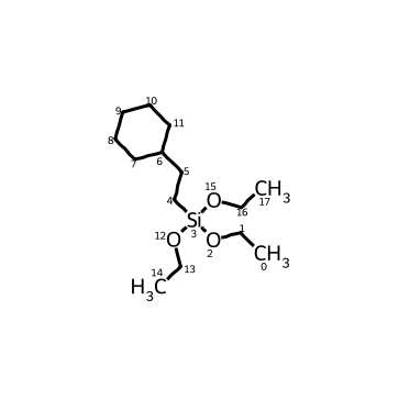 CCO[Si](CCC1CCCCC1)(OCC)OCC